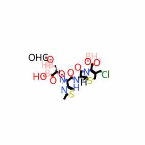 BOC(=O)C1=C(CCl)CS[C@@H]2[C@H](NC(=O)/C(=N\O[C@@H](CBOC=O)C(=O)BO)c3csc(C)n3)C(=O)N12